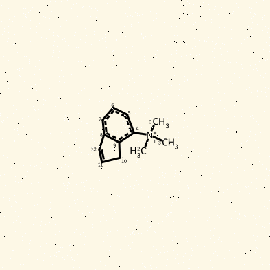 C[N+](C)(C)c1cccc2c1[CH]C=C2